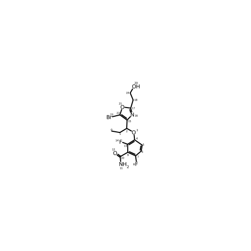 CCC(Oc1ccc(F)c(C(N)=O)c1F)c1nc(CCO)oc1Br